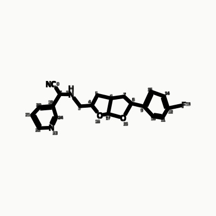 N#CC(NCC1CC2CC(c3ccc(F)cc3)OC2O1)c1cccnc1